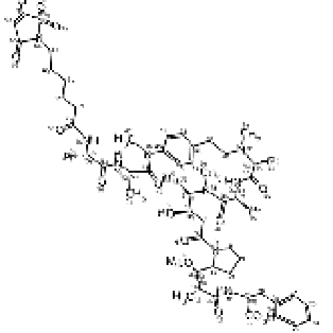 CC[C@H](C)[C@H]([C@H](O)CC(=O)N1CCCC1[C@H](OC)[C@@H](C)C(=O)N[C@H](Cc1ccccc1)C(=O)O)N(C)C(=O)[C@@H](NC(=O)[C@H](C(C)C)N(C)CCc1ccc(N(C)C(=O)[C@H](C)NC(=O)[C@@H](NC(=O)CCCCCN2C(=O)C=C(Cl)S2(=O)=O)C(C)C)cc1)C(C)C